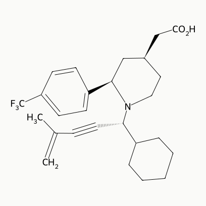 C=C(C)C#C[C@@H](C1CCCCC1)N1CC[C@H](CC(=O)O)C[C@@H]1c1ccc(C(F)(F)F)cc1